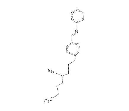 CCCCC(C#N)CCCc1ccc(C=Nc2ccccc2)cc1